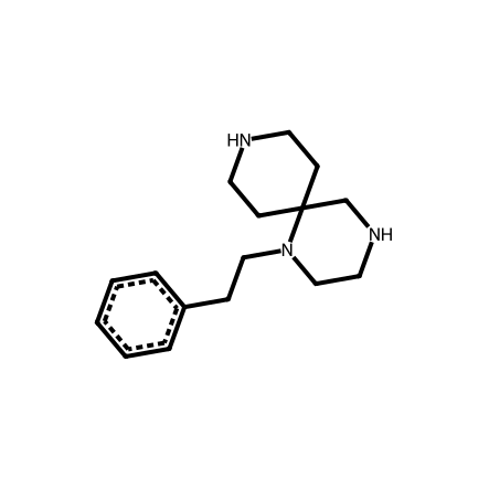 c1ccc(CCN2CCNCC23CCNCC3)cc1